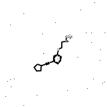 O=C(O)NCCOc1cccc(C#CC2CCCC2)c1